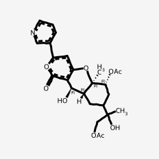 CC(=O)OCC(C)(O)C1C[C@@H]2[C@@H](O)c3c(cc(-c4cccnc4)oc3=O)O[C@@]2(C)[C@H](OC(C)=O)C1